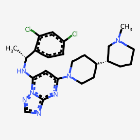 C[C@@H](Nc1cc(N2CCC([C@H]3CCCN(C)C3)CC2)nc2ncnn12)c1ccc(Cl)cc1Cl